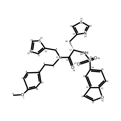 COc1ccc(CCN(Cc2cncs2)C(=O)[C@H](Cc2cscn2)NS(=O)(=O)c2ccc3occc3c2)cc1